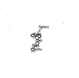 COC(=O)CCCCNC(=O)[C@@]1(c2ccccc2)CC[C@H](C(=O)N2CCC(NC(=O)c3ccccc3OC)CC2)c2ccccc21